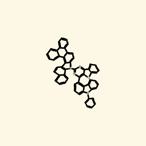 c1ccc(-n2c3ccccc3c3c(-c4nc(-n5c6ccc7c8ccccc8c8ccccc8c7c6c6ccc7ccccc7c65)nc5c4oc4ccccc45)cccc32)cc1